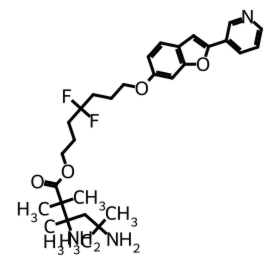 CC(C)(N)CC(C)(N)C(C)(C)C(=O)OCCCC(F)(F)CCCOc1ccc2cc(-c3cccnc3)oc2c1